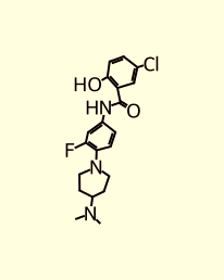 CN(C)C1CCN(c2ccc(NC(=O)c3cc(Cl)ccc3O)cc2F)CC1